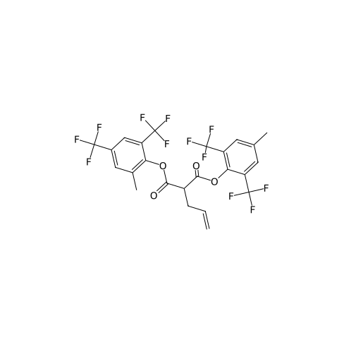 C=CCC(C(=O)Oc1c(C)cc(C(F)(F)F)cc1C(F)(F)F)C(=O)Oc1c(C(F)(F)F)cc(C)cc1C(F)(F)F